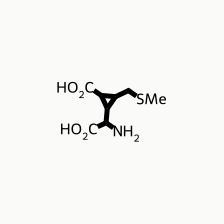 CSCC1C(C(=O)O)C1C(N)C(=O)O